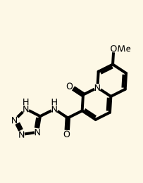 COc1ccc2ccc(C(=O)Nc3nnn[nH]3)c(=O)n2c1